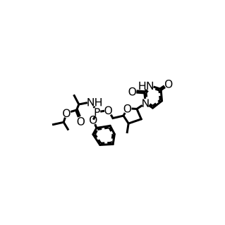 CC(C)OC(=O)C(C)NP(OCC1OC(n2ccc(=O)[nH]c2=O)CC1C)Oc1ccccc1